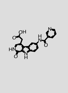 O=C(O)Cc1c[nH]c(=O)c2[nH]c3ccc(NC(=O)c4cccnc4)cc3c12